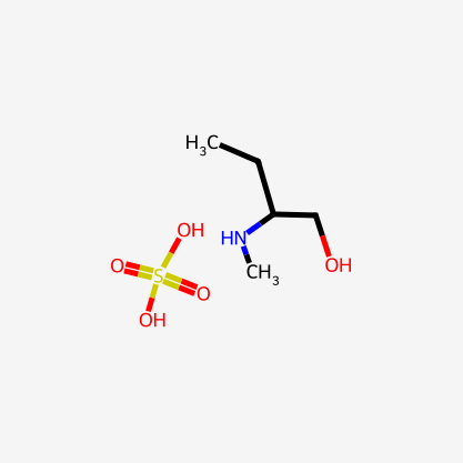 CCC(CO)NC.O=S(=O)(O)O